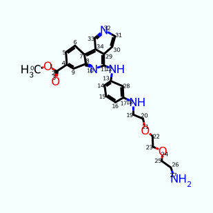 COC(=O)c1ccc2c(c1)nc(Nc1cccc(NCCOCCOCCN)c1)c1ccncc12